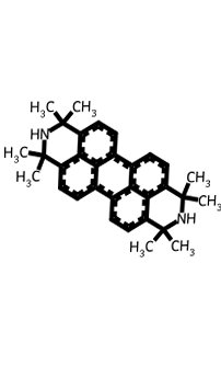 CC1(C)NC(C)(C)c2ccc3c4ccc5c6c(ccc(c7ccc1c2c73)c64)C(C)(C)NC5(C)C